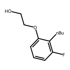 CCCCc1c(F)cccc1OCCO